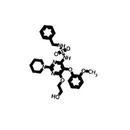 COc1ccccc1Oc1c(NS(=O)(=O)NCc2ccccc2)nc(N2CCCCC2)nc1OCCO